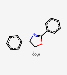 O=C(O)[C@H]1OC(c2ccccc2)=N[C@H]1c1ccccc1